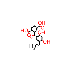 CCc1cc(C(=O)c2cc(C(=O)O)ccc2C(=O)O)c(O)cc1O